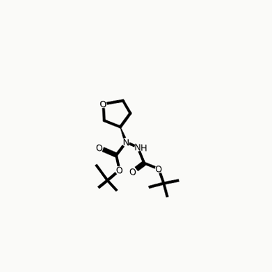 CC(C)(C)OC(=O)NN(C(=O)OC(C)(C)C)[C@@H]1CCOC1